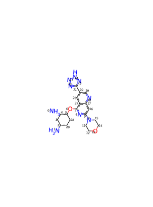 N.NC1CCC(Oc2nc(N3CCOCC3)cc3ncc(-c4nn[nH]n4)cc23)CC1